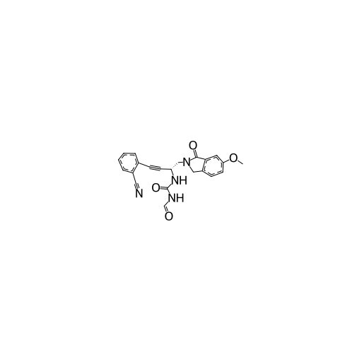 COc1ccc2c(c1)C(=O)N(C[C@@H](C#Cc1ccccc1C#N)NC(=O)NC=O)C2